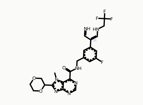 Cn1c(C2COCCO2)nc2ncnc(C(=O)NCc3cc(F)cc(/C(C=N)=C/NCC(F)(F)F)c3)c21